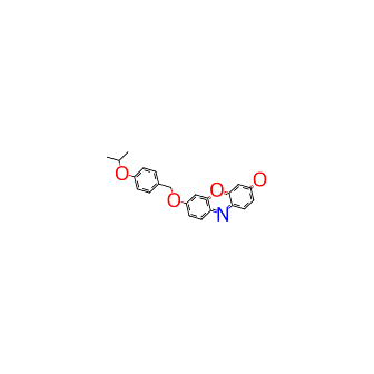 CC(C)Oc1ccc(COc2ccc3nc4ccc(=O)cc-4oc3c2)cc1